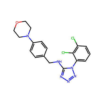 Clc1cccc(-n2nnnc2NCc2ccc(N3CCOCC3)cc2)c1Cl